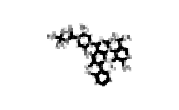 Cc1ncc(C(C)C)c(-n2c(=O)nc(N3C[C@@H](C)N(C(=O)OC(C)(C)C)C[C@@H]3C)c3cc(Cl)c(-c4ccccc4F)nc32)c1C